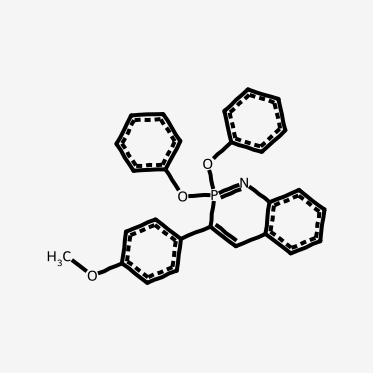 COc1ccc(C2=Cc3ccccc3N=P2(Oc2ccccc2)Oc2ccccc2)cc1